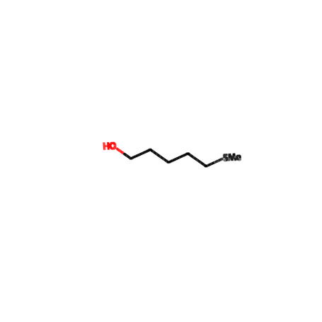 CSCCCCCO